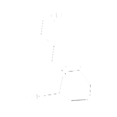 CCOC(=O)CCCN1CCOCC1C=O